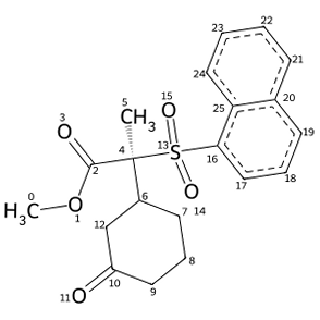 COC(=O)[C@](C)(C1CCCC(=O)C1)S(=O)(=O)c1cccc2ccccc12